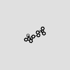 O=c1c2ccccc2c2cccc3c4cc(-c5cccc6c(-n7c8ccccc8c8ccccc87)cccc56)ccc4n1c23